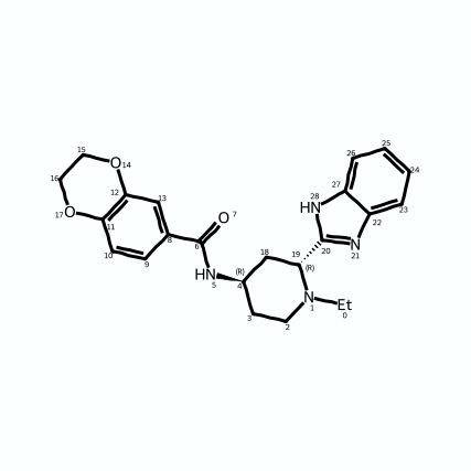 CCN1CC[C@@H](NC(=O)c2ccc3c(c2)OCCO3)C[C@@H]1c1nc2ccccc2[nH]1